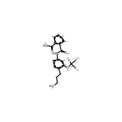 CCCCc1ccc(NC(=O)c2ccccc2C(=O)O)cc1OC(F)(F)F